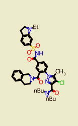 CCCCN(CCCC)C(=O)c1nn(-c2ccc(C(=O)NS(=O)(=O)c3ccc4c(c3)N(CC)CC4)cc2C(=O)N2CCc3ccccc3C2)c(C)c1Cl